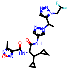 Cc1nonc1C(=O)N[C@H](C(=O)Nc1cnn(C(C)c2cnnn2CC(F)F)c1)C(C1CC1)C1CC1